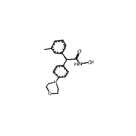 Cc1cccc(C(C(=O)NO)c2ccc(N3CCOCC3)cc2)c1